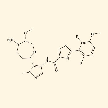 COc1ccc(F)c(-c2nc(C(=O)Nc3cnn(C)c3[C@@H]3CCC(N)[C@H](OC)CO3)cs2)c1F